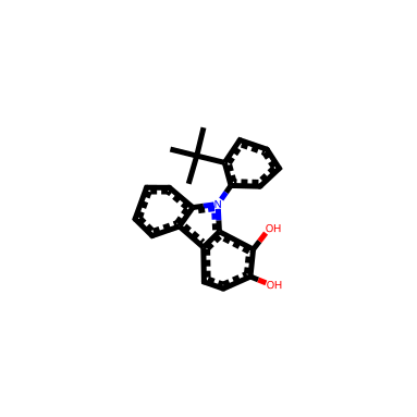 CC(C)(C)c1ccccc1-n1c2ccccc2c2ccc(O)c(O)c21